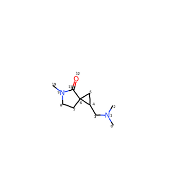 CN(C)CC1CC12CCN(C)C2=O